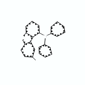 Clc1ccc2oc3cccc(N(c4ccccc4)c4ccccc4)c3c2c1